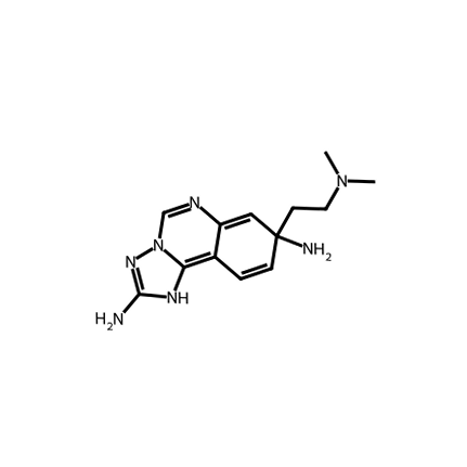 CN(C)CCC1(N)C=CC2=C3NC(N)=NN3C=NC2=C1